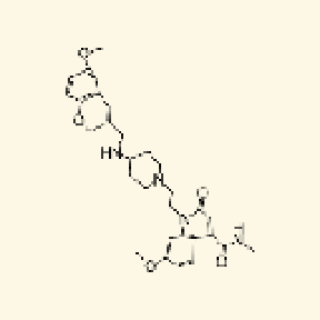 CNC(=O)c1cc(=O)n(CCN2CCC(NCC3=Cc4cc(OC)ccc4OC3)CC2)c2cc(OC)ccc12